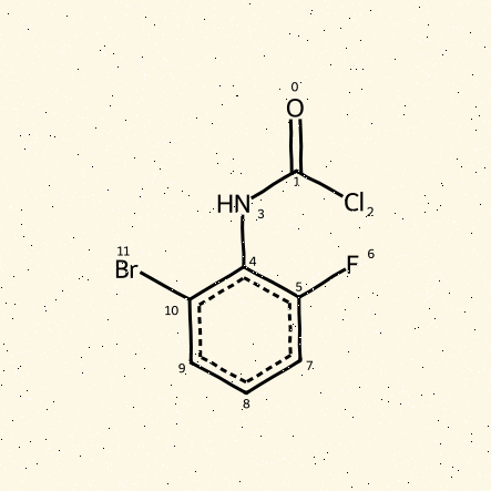 O=C(Cl)Nc1c(F)cccc1Br